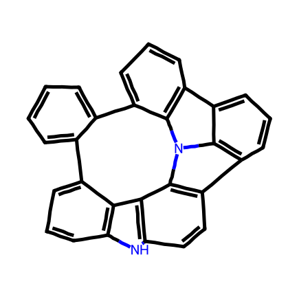 c1ccc2c(c1)c1cccc3[nH]c4ccc5c6cccc7c8cccc2c8n(c76)c5c4c31